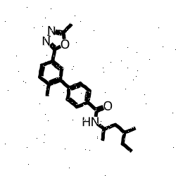 CCC(C)CC(C)NC(=O)c1ccc(-c2cc(-c3nnc(C)o3)ccc2C)cc1